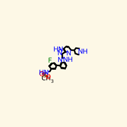 CS(=O)(=O)NCc1cc(F)cc(-c2cccc3[nH]c(-c4n[nH]c5ccc(C6CCNCC6)nc45)nc23)c1